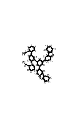 N#Cc1ccccc1-c1ccc(-c2ccccc2C#N)c(-c2cc(-c3ccc4sc5ccccc5c4c3)cc(-c3ccc4sc5ccccc5c4c3)c2)c1